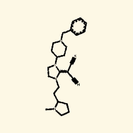 CN1CCCC1CCN1CCN(C2CCN(Cc3ccccc3)CC2)C1=C(C#N)C#N